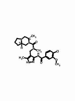 COc1cc(C(=O)Nc2n[nH]c(C)c2CN(C)C(=O)N2C[C@@H]3CCCN3C[C@@H]2C)ccc1Cl